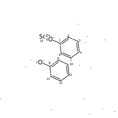 [O-]c1ccccc1.[O-]c1ccccc1.[Sc+2]